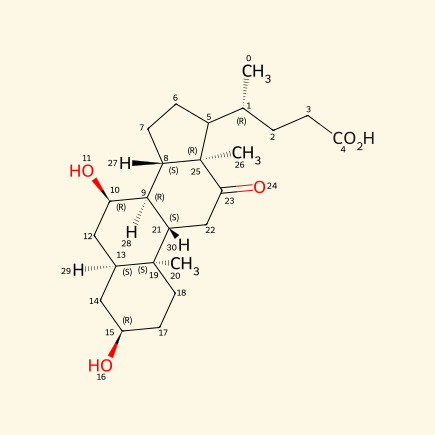 C[C@H](CCC(=O)O)C1CC[C@H]2[C@@H]3[C@H](O)C[C@@H]4C[C@H](O)CC[C@]4(C)[C@H]3CC(=O)[C@]12C